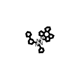 c1ccc(-c2cccc(-c3nc(-c4ccccc4)nc(-n4c5cccc6c5c5c7c(cccc7ccc54)-c4ccccc4-6)n3)c2)cc1